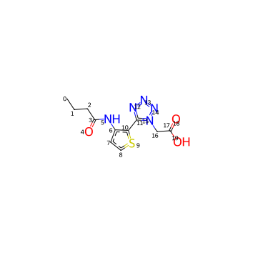 CCCC(=O)Nc1ccsc1-c1nnnn1CC(=O)O